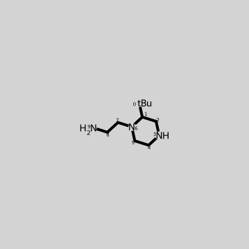 CC(C)(C)C1CNCCN1CCN